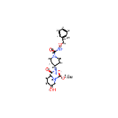 CC(C)(C)OC(=O)N1C[C@H](O)CC[C@@H]1C(=O)NC1CCN(C(=O)NOCc2ccccc2)CC1